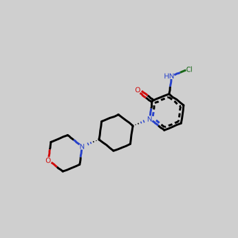 O=c1c(NCl)cccn1[C@H]1CC[C@@H](N2CCOCC2)CC1